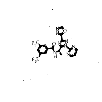 CC(NC(=O)c1cc(C(F)(F)F)cc(C(F)(F)F)c1)c1nc(-c2nnco2)nn1-c1ncccn1